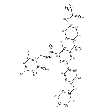 Cc1cc(C)c(CNC(=O)c2cc(-c3ccc(CN4CCOCC4)cc3)cc(N(C)[C@H]3CC[C@@H](OC(N)=O)CC3)c2C)c(=O)[nH]1